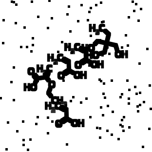 C=C(OCC)C(=O)O.C=CC(=O)O.C=CC(=O)O.C=CC(=O)O.CCC(CO)(CO)CO